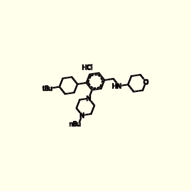 CCCCN1CCN(c2cc(CNC3CCOCC3)ccc2C2CCC(C(C)(C)C)CC2)CC1.Cl